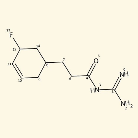 N=C(N)NC(=O)CCC1CC=CC(F)C1